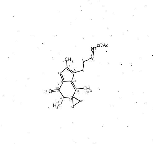 CC(=O)ON=CCCC1=C(C)C=C2C(=O)[C@@H](C)C3(CC3)C(C)=C21